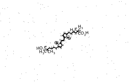 CC(C)(CCCCC1=CCC(C=CC2=CCC(CCCCC(C)(C)C(=O)O)[S+]2[O-])[S+]1[O-])C(=O)O